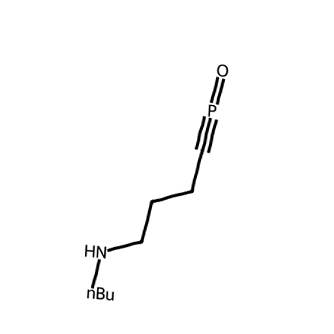 CCCCNCCCC#P=O